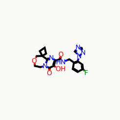 O=C(NCc1ccc(F)cc1-n1cncn1)c1nc2n(c(=O)c1O)CCOCC21CCC1